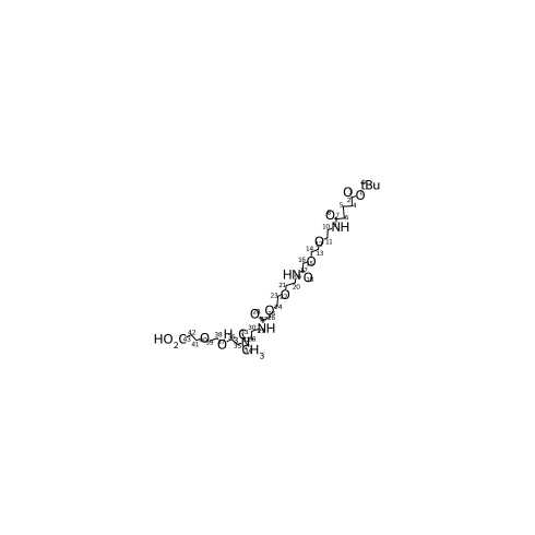 CC(C)(C)OC(=O)CCCC(=O)NCCOCCOCC(=O)NCCOCCOCC(=O)NCC[N+](C)(C)CCOCCOCCC(=O)O